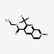 CCOC(=O)c1cc2cc[n+]([O-])cc2nc1C(F)(F)F